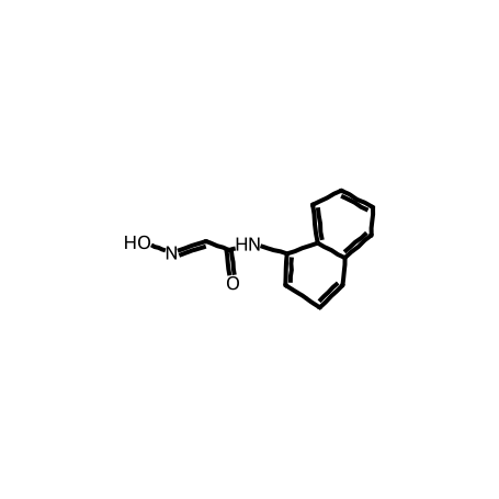 O=C(/C=N/O)Nc1cccc2ccccc12